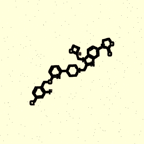 O=C1OCCN1c1ccc2c(c1)nc(CN1CCC(c3cccc(OCc4ccc(Cl)cc4F)n3)CC1)n2C[C@@H]1CCO1